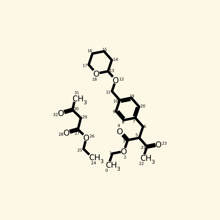 CCOC(=O)C(Cc1ccc(COC2CCCCO2)cc1)C(C)=O.CCOC(=O)CC(C)=O